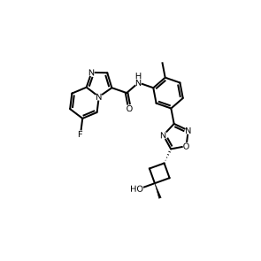 Cc1ccc(-c2noc([C@H]3C[C@@](C)(O)C3)n2)cc1NC(=O)c1cnc2ccc(F)cn12